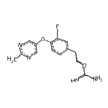 Cc1ncc(Oc2ccc(CCOC(=N)N)cc2F)cn1